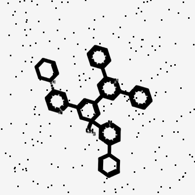 CC1(c2cc(C3C=CC=CC3)ccn2)C=C(c2cc(-c3ccccc3)nc(-c3ccccc3)c2)C=C(c2cc([C@H]3C=CCCC3)ccn2)C1